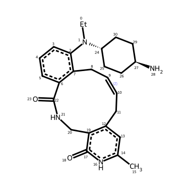 CCN(c1cccc2c1C/C=C\Cc1cc(C)[nH]c(=O)c1CNC2=O)[C@H]1CC[C@H](N)CC1